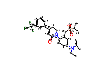 CCN(C(C)C)[C@@H]1CC[C@H](N2CCC(c3cccc(C(F)(F)F)c3)=CC2=O)[C@@H](CS(=O)(=O)C(C)C)C1